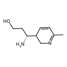 CC1=NCC([C@H](N)CCO)C=C1